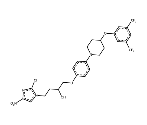 O=[N+]([O-])c1cn(CCC(O)COc2ccc(N3CCC(Oc4cc(C(F)(F)F)cc(C(F)(F)F)c4)CC3)cc2)c(Cl)n1